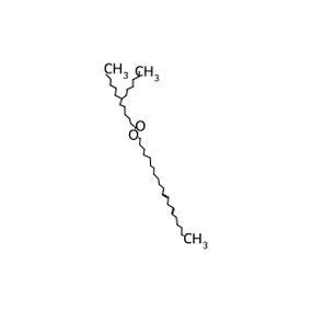 CCCCCC=CCC=CCCCCCCCCCCCOC(=O)CCCCCC(CCCCCC)CCCCCC